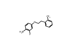 Bc1ccc(OCCc2ccccc2C(F)(F)F)cc1F